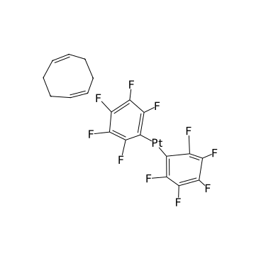 C1=CCCC=CCC1.Fc1c(F)c(F)[c]([Pt][c]2c(F)c(F)c(F)c(F)c2F)c(F)c1F